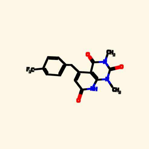 Cn1c(=O)c2c(Cc3ccc(C(F)(F)F)cc3)cc(=O)[nH]c2n(C)c1=O